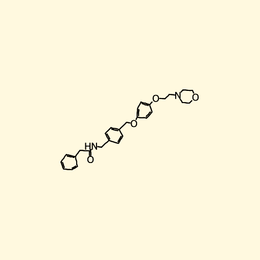 O=C(Cc1ccccc1)NCc1ccc(COc2ccc(OCCN3CCOCC3)cc2)cc1